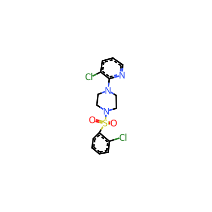 O=S(=O)(c1ccccc1Cl)N1CCN(c2ncccc2Cl)CC1